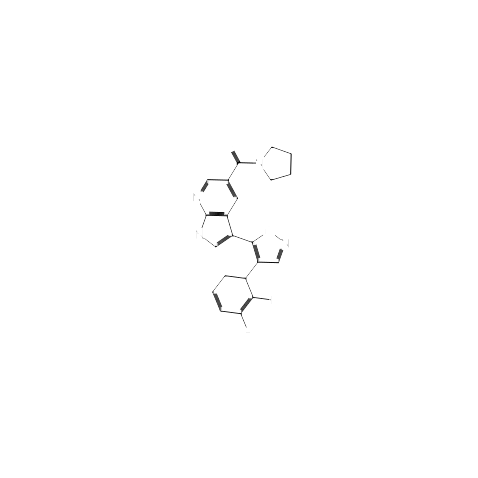 O=C(c1cnc2[nH]cc(-c3oncc3C3CC=CC(F)=C3F)c2c1)N1CCCC1